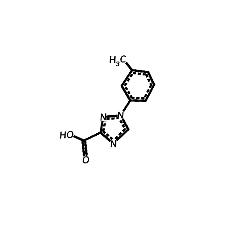 Cc1cccc(-n2cnc(C(=O)O)n2)c1